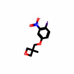 CC1(COc2ccc(I)c([N+](=O)[O-])c2)COC1